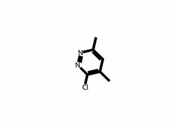 Cc1cc(C)c(Cl)nn1